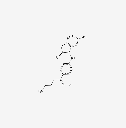 CCCC/C(=N/O)c1cnc(N[C@H]2c3cc(C)ccc3C[C@@H]2C)nc1